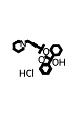 CC(C)(C#CCN1CCCCC1)OC(=O)C(O)(c1ccccc1)C1CCCCC1.Cl